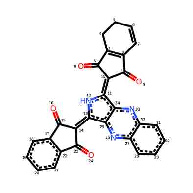 O=C1C2=C(CCC=C2)C(=O)/C1=c1\[nH]c(=C2C(=O)c3ccccc3C2=O)c2nc3ccccc3nc12